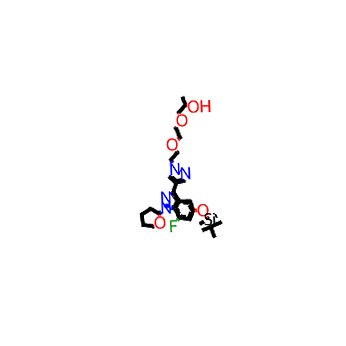 CC(O)COCCOCCn1cc(-c2nn(C3CCCCO3)c3c(F)cc(O[Si](C)(C)C(C)(C)C)cc23)cn1